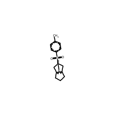 Cc1ccc(S(=O)(=O)N2CC34CCCC3(CNC4)C2)cc1